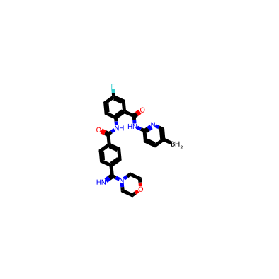 Bc1ccc(NC(=O)c2cc(F)ccc2NC(=O)c2ccc(C(=N)N3CCOCC3)cc2)nc1